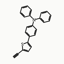 C#Cc1ccc(-c2ccc(N(c3ccccc3)c3ccccc3)cc2)s1